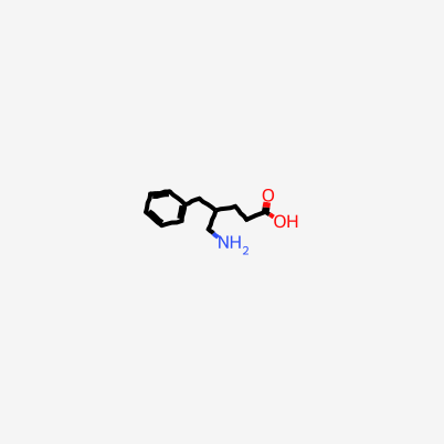 NCC(CCC(=O)O)Cc1ccccc1